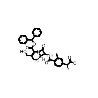 Cc1cc([C@H](C)C(=O)O)ccc1C(=O)NC1C(=O)N2C(C(=O)OC(c3ccccc3)c3ccccc3)=C(CO)CS[C@H]12